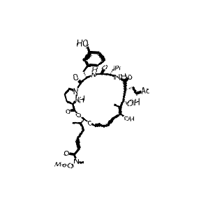 CON(C)C(=O)/C=C/C=C(\C)[C@@H]1C/C=C/C=C/C(O)=C(\C)[C@@H](O)[C@@H](CCC(C)=O)C(=O)N[C@@H](C(C)C)C(=O)N[C@@H](Cc2cccc(O)c2)C(=O)N2CCCC(N2)C(=O)O1